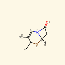 CC1S[C@H]2CC(=O)N2C=C1C#N